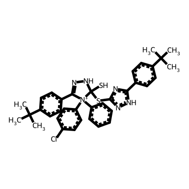 CC(C)(C)c1ccc(C2=NNC(S)(Sc3n[nH]c(-c4ccc(C(C)(C)C)cc4)n3)[N+]2(c2ccccc2)c2ccc(Cl)cc2)cc1